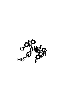 C[C@@H](c1ncncc1F)[C@](O)(Cn1cncn1)c1ccc(F)cc1F.OCCN1CCN(CCCN2c3ccccc3Sc3ccc(Cl)cc32)CC1